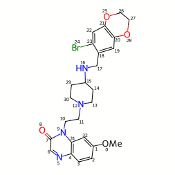 COc1ccc2ncc(=O)n(CCN3CCC(NCc4cc5c(cc4Br)OCCO5)CC3)c2c1